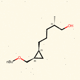 CCCCOC[C@@H]1C[C@@H]1CCC[C@H](C)CO